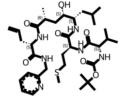 C=CC[C@H](NC(=O)[C@H](C)C[C@H](O)[C@H](CC(C)C)NC(=O)[C@H](CCSC)NC(=O)[C@@H](NC(=O)OC(C)(C)C)C(C)C)C(=O)NCc1ccccn1